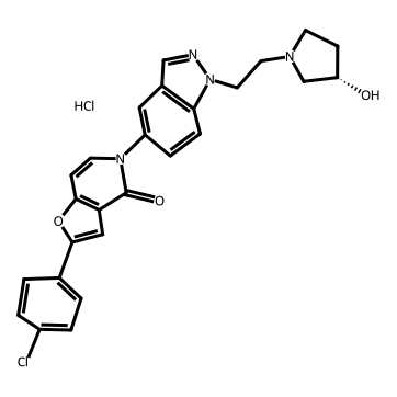 Cl.O=c1c2cc(-c3ccc(Cl)cc3)oc2ccn1-c1ccc2c(cnn2CCN2CC[C@H](O)C2)c1